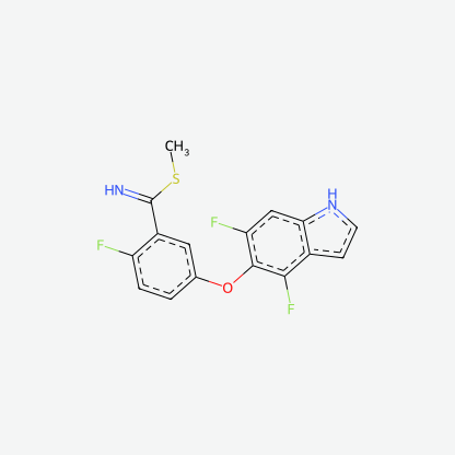 CSC(=N)c1cc(Oc2c(F)cc3[nH]ccc3c2F)ccc1F